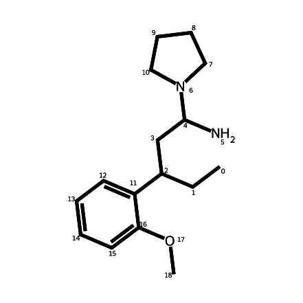 CCC(CC(N)N1CCCC1)c1ccccc1OC